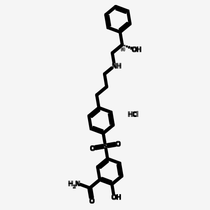 Cl.NC(=O)c1cc(S(=O)(=O)c2ccc(CCCNC[C@@H](O)c3ccccc3)cc2)ccc1O